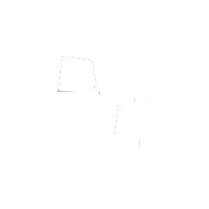 O=C(O)C(O)N1CCC1